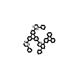 c1ccc(-c2ccnc(-c3ccc4c5ccc(-c6nccc(-c7ccccc7)n6)cc5c5cc(-c6ccc7c(-c8ccccc8)ccc(-c8ccc9c%10ccccc%10c%10ccccc%10c9c8)c7n6)ccc5c4c3)n2)cc1